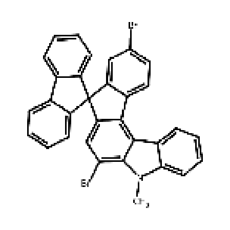 Cn1c2ccccc2c2c3c(cc(Br)c21)C1(c2ccccc2-c2ccccc21)c1cc(Br)ccc1-3